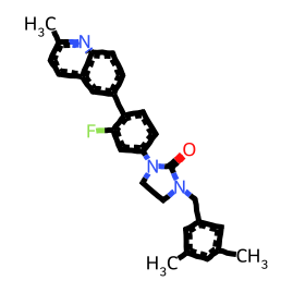 Cc1cc(C)cc(CN2CCN(c3ccc(-c4ccc5nc(C)ccc5c4)c(F)c3)C2=O)c1